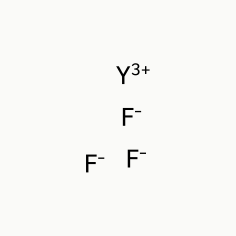 [F-].[F-].[F-].[Y+3]